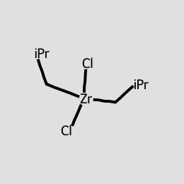 CC(C)[CH2][Zr]([Cl])([Cl])[CH2]C(C)C